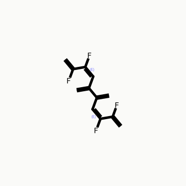 C=C(/C=C(/F)C(=C)F)C(=C)/C=C(/F)C(=C)F